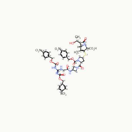 CC1=C(S[C@H]2C[C@@H](C(=O)N3CC(NC(=O)CN/C(=N\C(=O)OCc4ccc([N+](=O)[O-])cc4)NC(=O)OCc4ccc([N+](=O)[O-])cc4)C3)N(C(=O)OCc3ccc([N+](=O)[O-])cc3)C2)C(C(=O)O)N2C(=O)[C@H]([C@@H](C)O)[C@@H]12